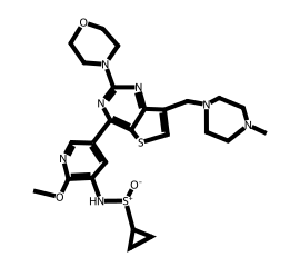 COc1ncc(-c2nc(N3CCOCC3)nc3c(CN4CCN(C)CC4)csc23)cc1N[S+]([O-])C1CC1